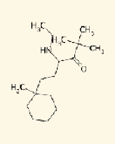 CCNC(CCC1(C)CCCCC1)C(=O)C(C)(C)C